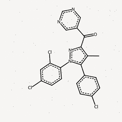 Cc1c(C(=O)c2cncnc2)nn(-c2ccc(Cl)cc2Cl)c1-c1ccc(Cl)cc1